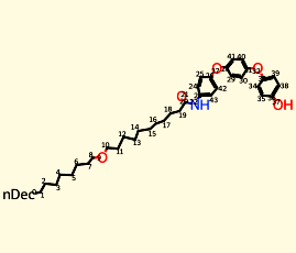 CCCCCCCCCCCCCCCCCCOCCCCCCCCCCC(=O)Nc1ccc(Oc2ccc(Oc3ccc(O)cc3)cc2)cc1